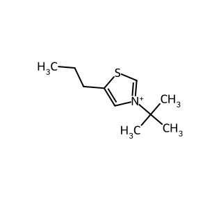 CCCc1c[n+](C(C)(C)C)cs1